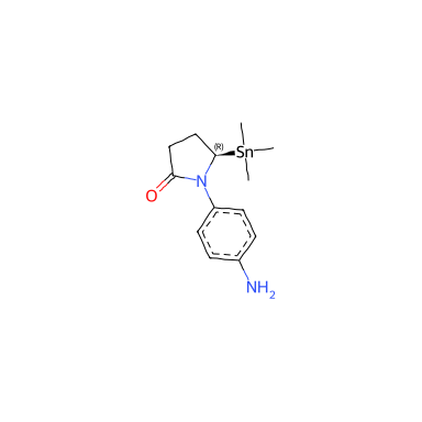 [CH3][Sn]([CH3])([CH3])[C@@H]1CCC(=O)N1c1ccc(N)cc1